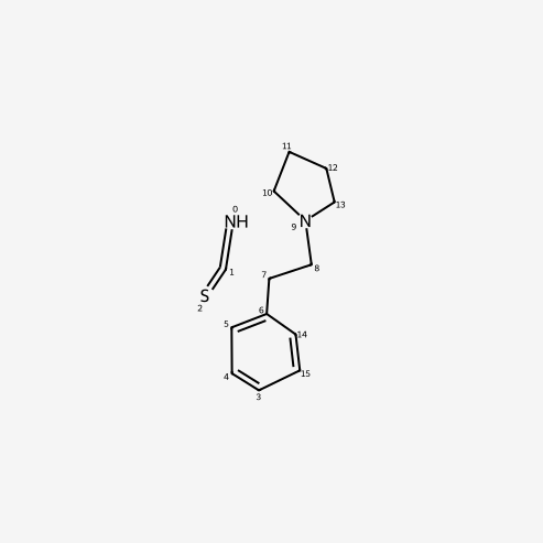 N=C=S.c1ccc(CCN2CCCC2)cc1